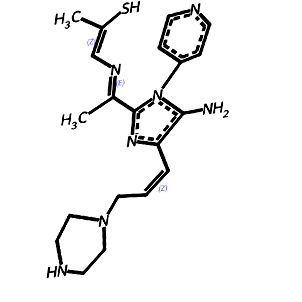 C/C(S)=C/N=C(\C)c1nc(/C=C\CN2CCNCC2)c(N)n1-c1ccncc1